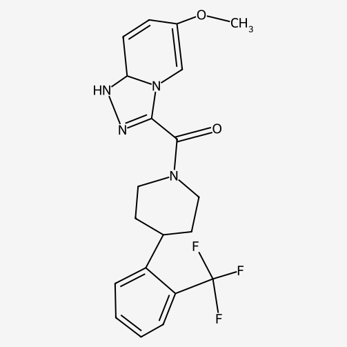 COC1=CN2C(C(=O)N3CCC(c4ccccc4C(F)(F)F)CC3)=NNC2C=C1